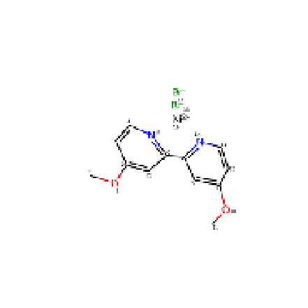 COc1ccnc(-c2cc(OC)ccn2)c1.[Br-].[Br-].[Ni+2]